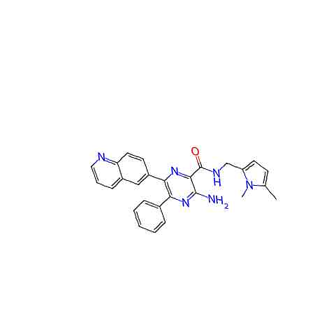 Cc1ccc(CNC(=O)c2nc(-c3ccc4ncccc4c3)c(-c3ccccc3)nc2N)n1C